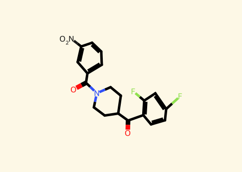 O=C(c1ccc(F)cc1F)C1CCN(C(=O)c2cccc([N+](=O)[O-])c2)CC1